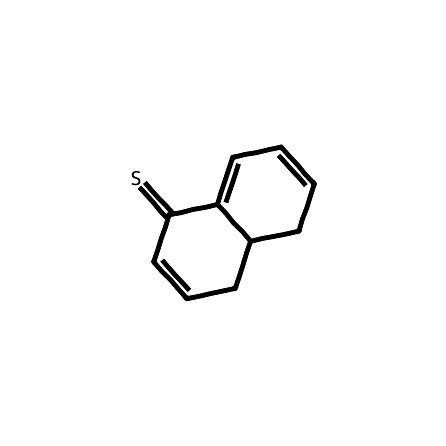 S=C1C=CCC2CC=CC=C12